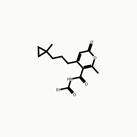 CCC(=O)NC(=O)c1c(CCCC2(C)CC2)cc(=O)oc1C